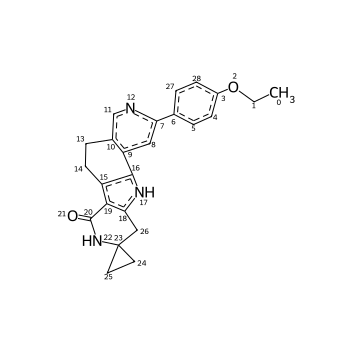 CCOc1ccc(-c2cc3c(cn2)CCc2c-3[nH]c3c2C(=O)NC2(CC2)C3)cc1